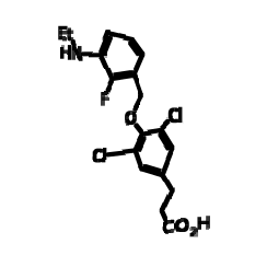 CCNc1cccc(COc2c(Cl)cc(CCC(=O)O)cc2Cl)c1F